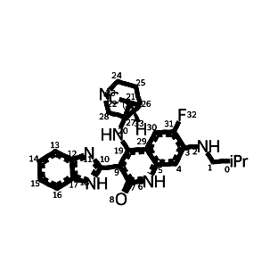 CC(C)CNc1cc2[nH]c(=O)c(-c3nc4ccccc4[nH]3)c(N[C@@H]3CN4CCC3CC4)c2cc1F